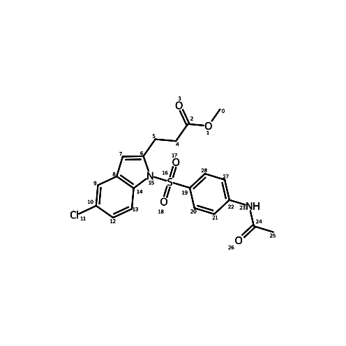 COC(=O)CCc1cc2cc(Cl)ccc2n1S(=O)(=O)c1ccc(NC(C)=O)cc1